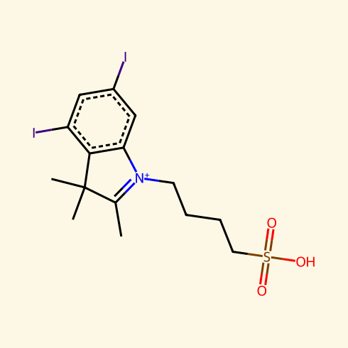 CC1=[N+](CCCCS(=O)(=O)O)c2cc(I)cc(I)c2C1(C)C